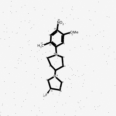 COc1cc(N2CCC(N3CC[C@@H](F)C3)CC2)c(C)cc1[N+](=O)[O-]